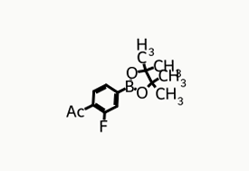 CC(=O)c1ccc(B2OC(C)(C)C(C)(C)O2)cc1F